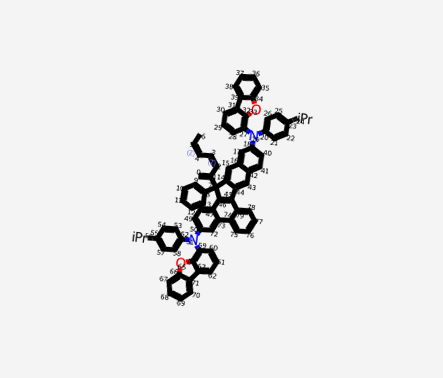 C=C(/C=C\C=C/C)C1(c2ccccc2)c2cc3cc(N(c4ccc(C(C)C)cc4)c4cccc5c4oc4ccccc45)ccc3cc2-c2c1c1ccc(N(c3ccc(C(C)C)cc3)c3cccc4c3oc3ccccc34)cc1c1ccccc21